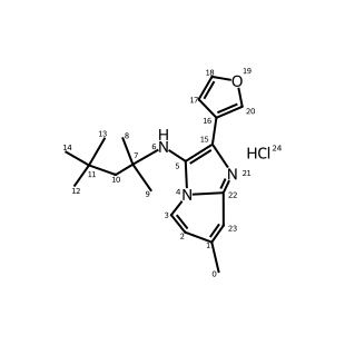 Cc1ccn2c(NC(C)(C)CC(C)(C)C)c(-c3ccoc3)nc2c1.Cl